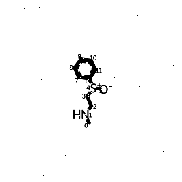 CNCC[S+]([O-])c1ccccc1